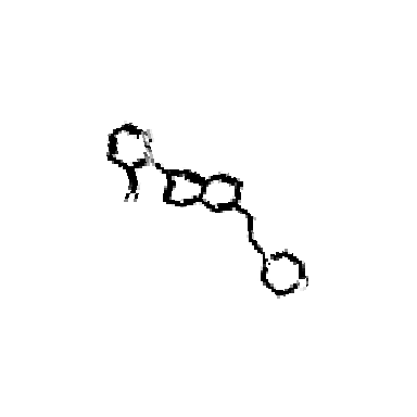 O=c1cccnn1-c1ccc2cc(CCN3CCOCC3)ccc2c1